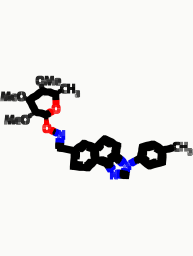 CO[C@@H]1[C@@H](OC)[C@H](C)O[C@@H](ON=Cc2ccc3c(ccc4c3ncn4-c3ccc(C)cc3)c2)[C@@H]1OC